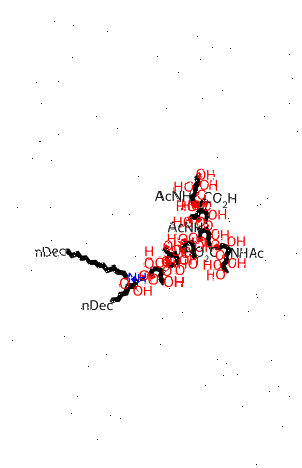 CCCCCCCCCCCCC/C=C/[C@@H](O)[C@H](CO[C@@H]1OC(CO)[C@@H](O[C@@H]2OC(CO)[C@H](O[C@@H]3OC(CO)[C@H](O)[C@H](O[C@@H]4OC(CO[C@]5(C(=O)O)CC(O)[C@@H](NC(C)=O)C([C@H](O)[C@H](O)CO)O5)[C@H](O)[C@H](O[C@@H]5OC(CO)[C@H](O)[C@H](O[C@]6(C(=O)O)CC(O)[C@@H](NC(C)=O)C([C@H](O)[C@H](O)CO)O6)C5O)C4NC(C)=O)C3O)[C@H](O)C2O)[C@H](O)C1O)NC(=O)CCCCCCCCCCCCCCCCCCCCCCC